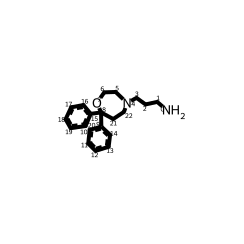 NCCCN1CCOC(c2ccccc2)(c2ccccc2)CC1